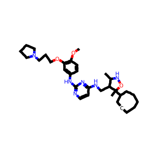 COc1ccc(Nc2nccc(NCC3C(C)NOC3(C)C3CCCCCCC3)n2)cc1OCCCN1CCCC1